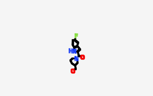 O=CC1CCCN(C(=O)c2cc3cc(F)ccc3[nH]2)C1